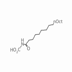 CCCCCCCCCCCCCCCCC(=O)NC(=O)O